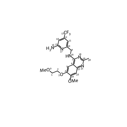 COCCOc1cc2c(NCc3cc(C(F)(F)F)cc(N)n3)nc(C)nc2cc1OC